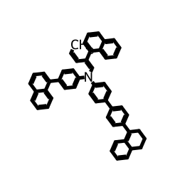 C/C=C\C(=C/N(c1ccc(-c2ccc(C3=C4C=CC=CC4CCC3)cc2)cc1)c1ccc(-c2cccc3ccccc23)cc1)c1cccc2ccccc12